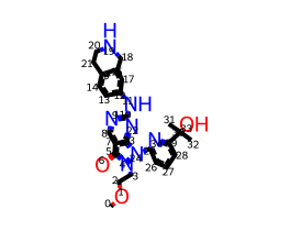 COCCn1c(=O)c2cnc(Nc3ccc4c(c3)CNCC4)nc2n1-c1cccc(C(C)(C)O)n1